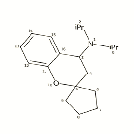 CC(C)N(C(C)C)C1CC2(CCCC2)Oc2ccccc21